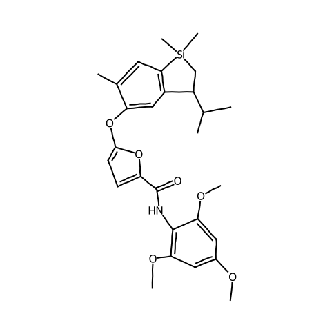 COc1cc(OC)c(NC(=O)c2ccc(Oc3cc4c(cc3C)[Si](C)(C)CC4C(C)C)o2)c(OC)c1